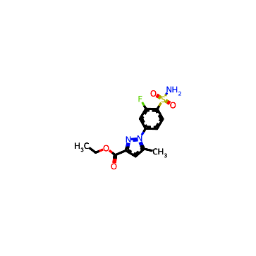 CCOC(=O)c1cc(C)n(-c2ccc(S(N)(=O)=O)c(F)c2)n1